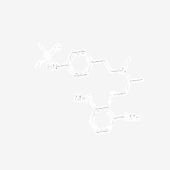 COc1cccc(OC)c1OCC(C)N(C)CCc1ccc(NS(C)(=O)=O)cc1